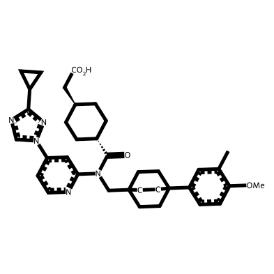 COc1ccc(C23CCC(CN(c4cc(-n5cnc(C6CC6)n5)ccn4)C(=O)[C@H]4CC[C@H](CC(=O)O)CC4)(CC2)CC3)cc1C